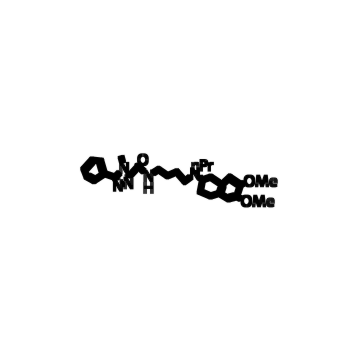 CCCN(CCCCNC(=O)c1nnc(-c2ccccc2)n1C)C1CCc2cc(OC)c(OC)cc2C1